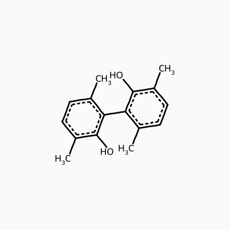 Cc1ccc(C)c(-c2c(C)ccc(C)c2O)c1O